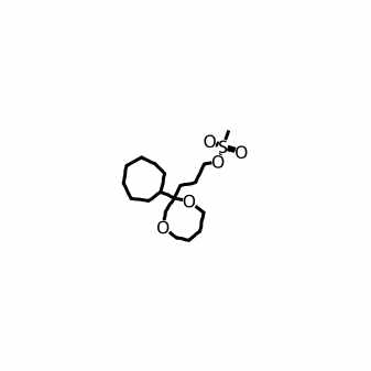 CS(=O)(=O)OCCCC1(C2CCCCCCC2)COCCCCO1